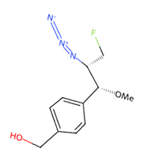 CO[C@H](c1ccc(CO)cc1)[C@@H](CF)N=[N+]=[N-]